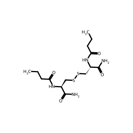 CCCC(=O)N[C@@H](CSSC[C@H](NC(=O)CCC)C(N)=O)C(N)=O